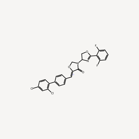 O=C1/C(=C/c2ccc(-c3ccc(Cl)cc3Cl)cc2)OCN1C1COC(c2c(F)cccc2F)=N1